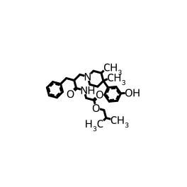 CC(C)COC(=O)CNC(=O)C(Cc1ccccc1)CN1CCC(C)(c2cccc(O)c2)C(C)C1